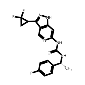 C[C@@H](NC(=O)Nc1cc2[nH]nc(C3CC3(F)F)c2cn1)c1ccc(F)cc1